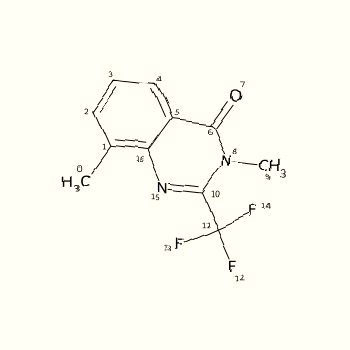 Cc1cccc2c(=O)n(C)c(C(F)(F)F)nc12